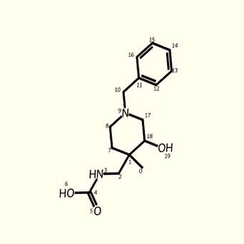 CC1(CNC(=O)O)CCN(Cc2ccccc2)CC1O